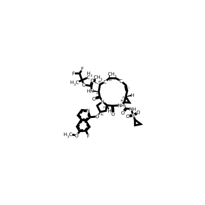 CC[C@@H]1C[C@H](C)CC/C=C\[C@@H]2C[C@@]2(C(=O)NS(=O)(=O)C2CC2)NC(=O)[C@@H]2C[C@@H](Oc3nccc4cc(OC)c(F)cc34)CN2C(=O)[C@H]1NC(=O)OC(C)(C)C(F)F